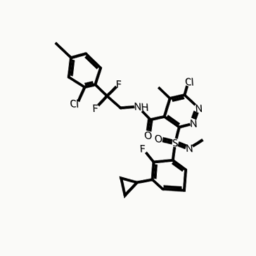 CN=S(=O)(c1cccc(C2CC2)c1F)c1nnc(Cl)c(C)c1C(=O)NCC(F)(F)c1ccc(C)cc1Cl